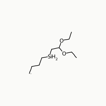 [CH2]CCC[SiH2]CC(OCC)OCC